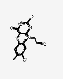 Cc1cc2nc3c(=O)[nH]c(=O)nc-3n(CC=O)c2cc1Cl